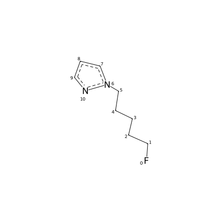 FCCCCCn1cccn1